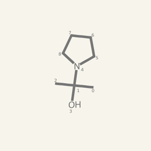 CC(C)(O)N1CCCC1